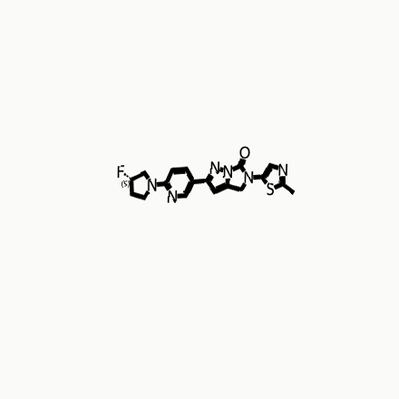 Cc1ncc(N2Cc3cc(-c4ccc(N5CC[C@H](F)C5)nc4)nn3C2=O)s1